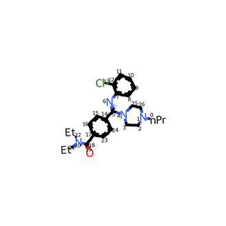 CCCN1CCN(/C(=N\c2ccccc2Cl)c2ccc(C(=O)N(CC)CC)cc2)CC1